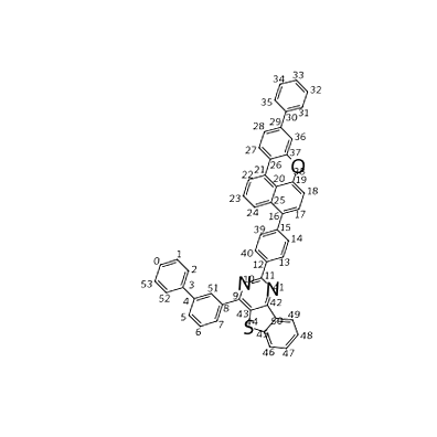 c1ccc(-c2cccc(-c3nc(-c4ccc(-c5ccc6c7c(cccc57)-c5ccc(-c7ccccc7)cc5O6)cc4)nc4c3sc3ccccc34)c2)cc1